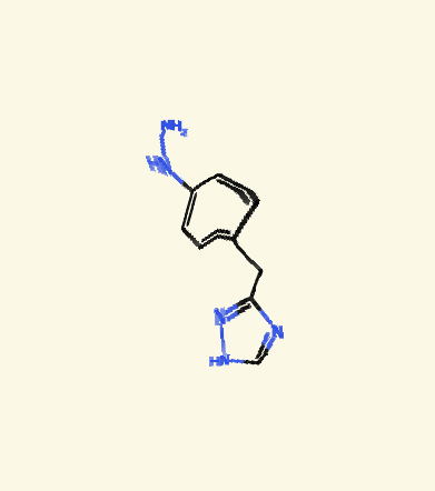 NNc1ccc(Cc2nc[nH]n2)cc1